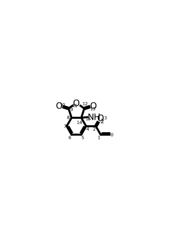 C=CC(=O)C1=CC=CC2C(=O)OC(=O)C12N